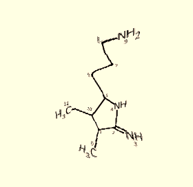 CC1C(=N)NC(CCCN)C1C